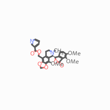 COc1ccc2c(c1OC)C(=O)OC2[C@H]1c2c(c(COC(=O)c3cccnc3)c3c(c2OC)OCO3)CCN1C